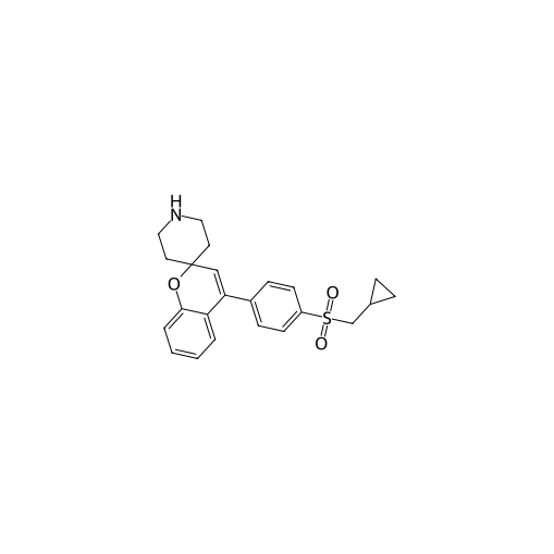 O=S(=O)(CC1CC1)c1ccc(C2=CC3(CCNCC3)Oc3ccccc32)cc1